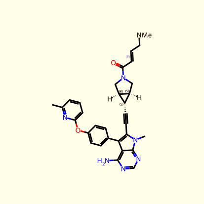 CNC/C=C/C(=O)N1C[C@@H]2[C@@H](C#Cc3c(-c4ccc(Oc5cccc(C)n5)cc4)c4c(N)ncnc4n3C)[C@@H]2C1